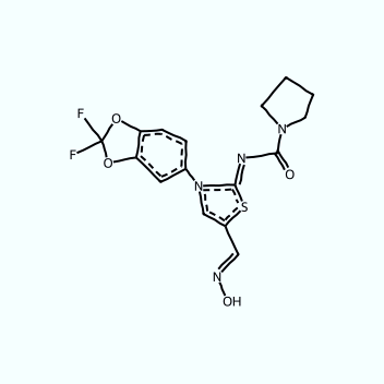 O=C(N=c1sc(C=NO)cn1-c1ccc2c(c1)OC(F)(F)O2)N1CCCC1